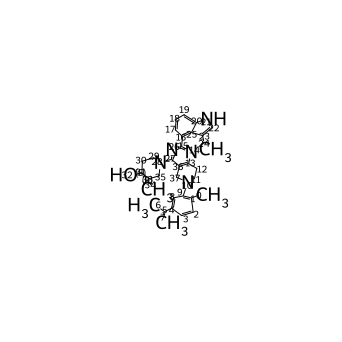 Cc1ccc(C(C)C)cc1N1CCc2nc(-c3cccc4[nH]cc(C)c34)nc(N3CC[C@H](O)[C@H](C)C3)c2C1